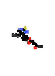 CCOC(=O)C1=C(C)NC(=S)NC1c1cccc(OC(=O)CCCC(=O)C(C)(C)C)c1